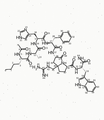 CCCC[C@H](NC(C)=O)C(=O)N[C@@H](C)C(=O)N[C@@H](Cc1c[nH]cn1)C(=O)N[C@H](Cc1ccccc1)C(=O)N[C@H]1CC2(CNC(=N)N)CC[C@H](C(=O)N[C@@H](Cc3c[nH]c4ccccc34)C(N)=O)N2C1=O